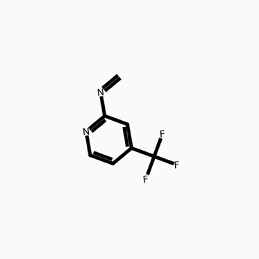 C=Nc1cc(C(F)(F)F)ccn1